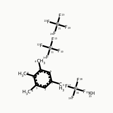 Cc1cc(C)c(C)c(C)c1.F[B-](F)(F)F.F[B-](F)(F)F.F[B-](F)(F)F.[KH]